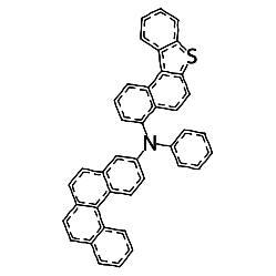 c1ccc(N(c2ccc3c(ccc4ccc5ccccc5c43)c2)c2cccc3c2ccc2sc4ccccc4c23)cc1